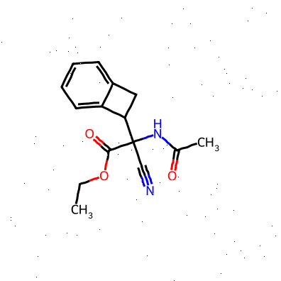 CCOC(=O)C(C#N)(NC(C)=O)C1Cc2ccccc21